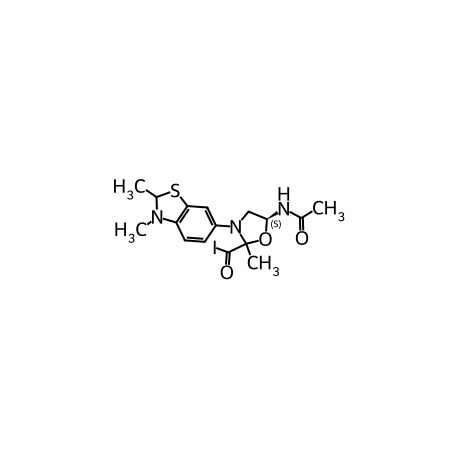 CC(=O)N[C@@H]1CN(c2ccc3c(c2)SC(C)N3C)C(C)(C(=O)I)O1